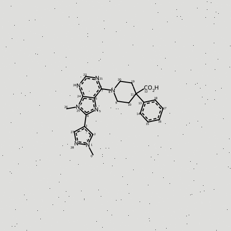 Cn1cc(-c2nc3c(N4CCC(C(=O)O)(c5ccccc5)CC4)ncnc3n2C)cn1